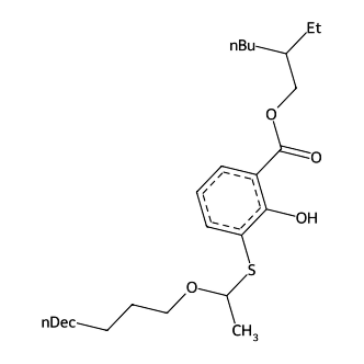 CCCCCCCCCCCCCOC(C)Sc1cccc(C(=O)OCC(CC)CCCC)c1O